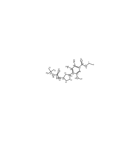 CCOC(=O)c1cc(OC)c(N2CCC(NC(=O)OC(C)(C)C)C2)c(F)c1F